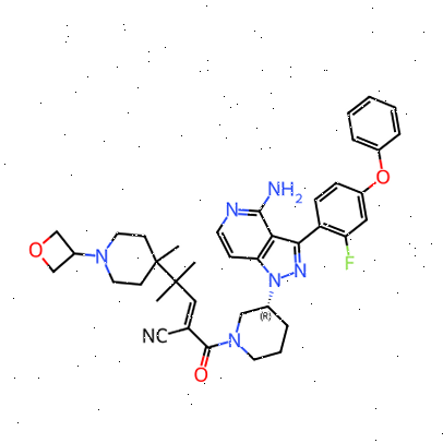 CC(C)(C=C(C#N)C(=O)N1CCC[C@@H](n2nc(-c3ccc(Oc4ccccc4)cc3F)c3c(N)nccc32)C1)C1(C)CCN(C2COC2)CC1